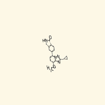 COc1ccc(-c2ccc3c(c2)CNC3=O)n2nc(C3CC3)nc12